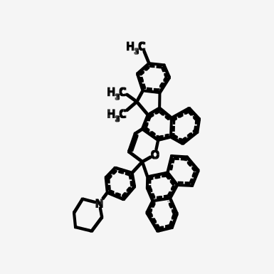 Cc1ccc2c(c1)C(C)(C)c1c3c(c4ccccc4c1-2)OC(c1ccc(N2CCCCC2)cc1)(c1cc2ccccc2c2ccccc12)C=C3